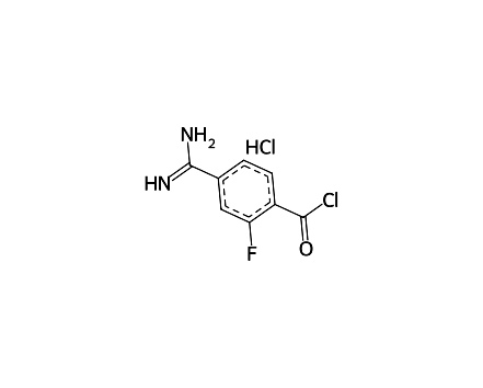 Cl.N=C(N)c1ccc(C(=O)Cl)c(F)c1